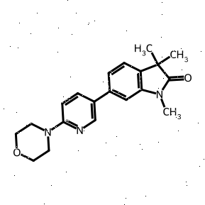 CN1C(=O)C(C)(C)c2ccc(-c3ccc(N4CCOCC4)nc3)cc21